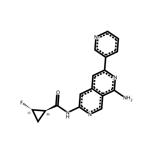 Nc1nc(-c2cccnc2)cc2cc(NC(=O)[C@H]3C[C@@H]3F)ncc12